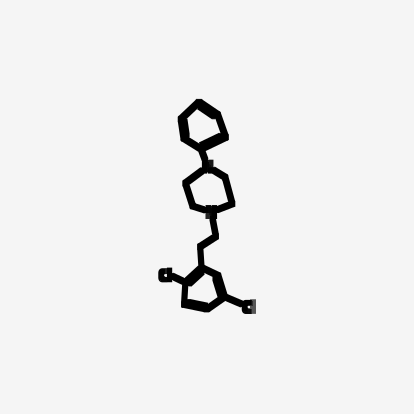 Clc1ccc(Cl)c(CCN2CCN(c3ccccc3)CC2)c1